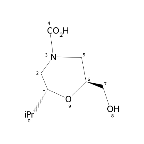 CC(C)[C@@H]1CN(C(=O)O)C[C@@H](CO)O1